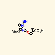 COc1ccc(C(=O)N(CCC=N)c2ccccc2)c(N2CCC(COc3cccc(C(CC(=O)O)C4CC4)c3)CC2)c1